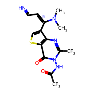 CN(C)/C(=C/C=N)c1csc2c(=O)n(NC(=O)C(F)(F)F)c(C(F)(F)F)nc12